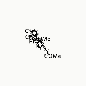 COC(=O)CCSc1cnc(NS(=O)(=O)c2cccc(Cl)c2Cl)c(OC)n1